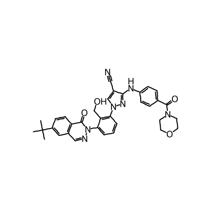 CC(C)(C)c1ccc2c(=O)n(-c3cccc(-n4cc(C#N)c(Nc5ccc(C(=O)N6CCOCC6)cc5)n4)c3CO)ncc2c1